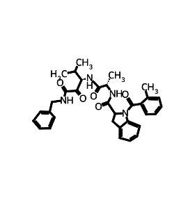 Cc1ccccc1C(=O)N1c2ccccc2CC1C(=O)N[C@@H](C)C(=O)N[C@H](C(=O)C(=O)NCc1ccccc1)C(C)C